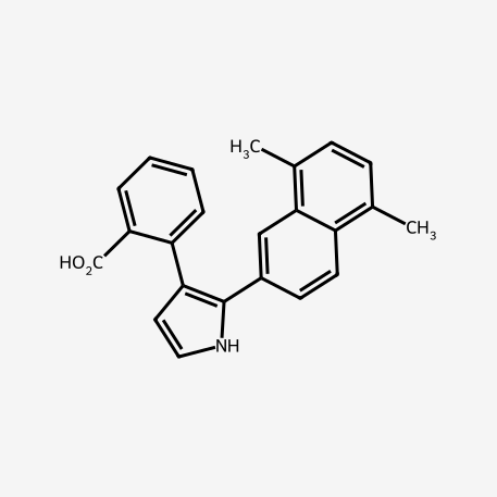 Cc1ccc(C)c2cc(-c3[nH]ccc3-c3ccccc3C(=O)O)ccc12